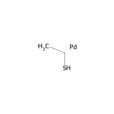 [CH2]CS.[Pd]